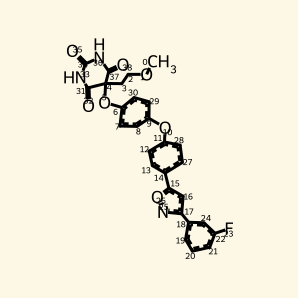 COCCC1(Oc2ccc(Oc3ccc(-c4cc(-c5cccc(F)c5)no4)cc3)cc2)C(=O)NC(=O)NC1=O